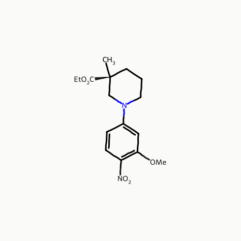 CCOC(=O)[C@@]1(C)CCCN(c2ccc([N+](=O)[O-])c(OC)c2)C1